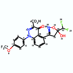 O=C(O)c1nn(-c2ccc(OC(F)(F)F)cc2)c2cccc(C3=NOC(O)(C(F)F)C3)c2c1=O